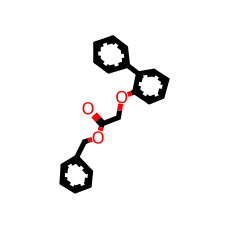 O=C(COc1ccccc1-c1ccccc1)OCc1ccccc1